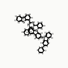 C1=CCCC(c2ccc3c4ccccc4n(-c4ccc5c6ccccc6n(-c6ccccc6-c6nc(C7=CCCC=C7)nc(-c7cccc8c7sc7ccccc78)n6)c5c4)c3c2)=C1